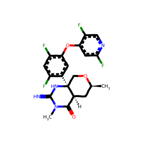 C[C@H]1C[C@H]2C(=O)N(C)C(=N)N[C@@]2(c2cc(Oc3cc(F)ncc3F)c(F)cc2F)CO1